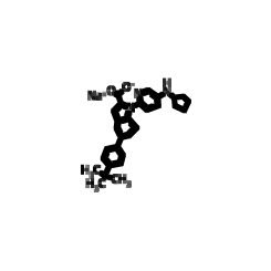 CC(C)(C)c1ccc(-c2ccc3c(c2)cc(C(=O)[O-])n3-c2ccc(NC3CCCC3)cn2)cc1.[Na+]